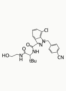 CC(C)(C)C(NC(=O)c1nn(Cc2ccc(C#N)cc2)c2c(Cl)cccc12)C(=O)NCCO